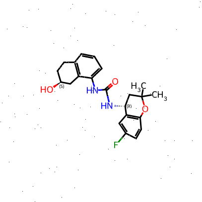 CC1(C)C[C@@H](NC(=O)Nc2cccc3c2C[C@@H](O)CC3)c2cc(F)ccc2O1